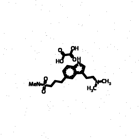 CNS(=O)(=O)CCCc1ccc2[nH]cc(CCN(C)C)c2c1.O=C(O)C(=O)O